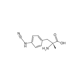 C[C@@](N)(Cc1ccc(NC#N)cc1)C(=O)O